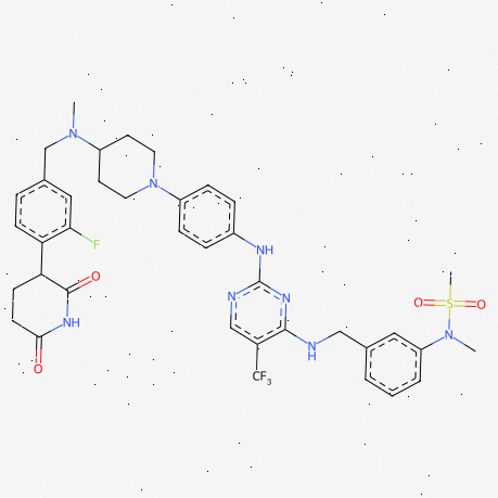 CN(Cc1ccc(C2CCC(=O)NC2=O)c(F)c1)C1CCN(c2ccc(Nc3ncc(C(F)(F)F)c(NCc4cccc(N(C)S(C)(=O)=O)c4)n3)cc2)CC1